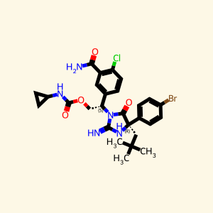 CC(C)(C)C[C@]1(c2ccc(Br)cc2)NC(=N)N([C@H](COC(=O)NC2CC2)c2ccc(Cl)c(C(N)=O)c2)C1=O